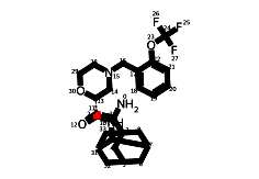 NC(=O)C12CC3CC(C1)C(NC(=O)[C@H]1CN(Cc4ccccc4OC(F)(F)F)CCO1)C(C3)C2